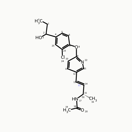 CCC(O)c1ccc(Oc2ccc(/C=C/[C@H](C)NC(C)=O)cn2)c(Cl)c1